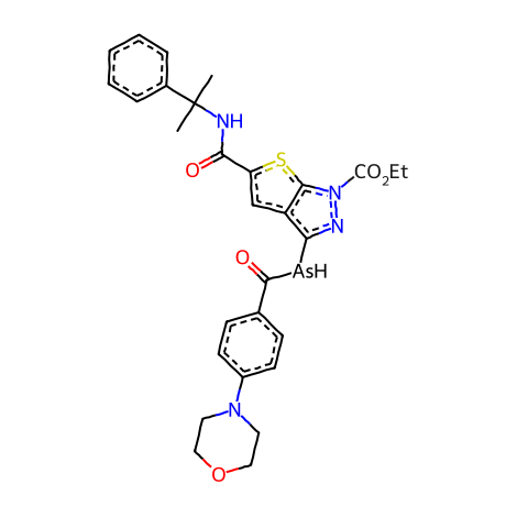 CCOC(=O)n1nc([AsH]C(=O)c2ccc(N3CCOCC3)cc2)c2cc(C(=O)NC(C)(C)c3ccccc3)sc21